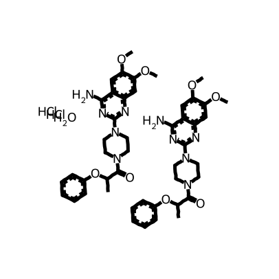 COc1cc2nc(N3CCN(C(=O)C(C)Oc4ccccc4)CC3)nc(N)c2cc1OC.COc1cc2nc(N3CCN(C(=O)C(C)Oc4ccccc4)CC3)nc(N)c2cc1OC.Cl.Cl.O